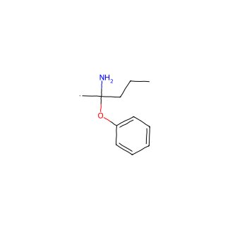 [CH2]C(N)(CCC)Oc1ccccc1